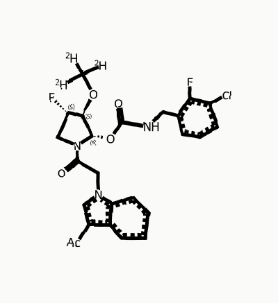 [2H]C([2H])([2H])O[C@@H]1[C@@H](F)CN(C(=O)Cn2cc(C(C)=O)c3ccccc32)[C@H]1OC(=O)NCc1cccc(Cl)c1F